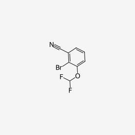 N#Cc1cccc(OC(F)F)c1Br